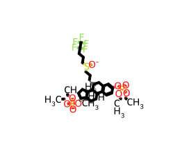 CCOP(=O)(OCC)Oc1ccc2c(c1)C[C@@H](CCC[S+]([O-])CCCC(F)(F)C(F)(F)F)[C@@H]1[C@@H]2CC[C@]2(C)[C@@H](OP(=O)(OCC)OCC)CC[C@@H]12